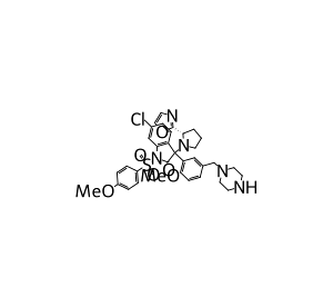 COc1ccc(S(=O)(=O)N2C(=O)C(c3cc(CN4CCNCC4)ccc3OC)(N3CCC[C@H]3c3ncco3)c3ccc(Cl)cc32)cc1